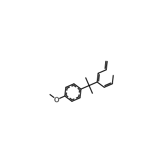 C=C/C=C(\C=C/C)C(C)(C)c1ccc(OC)cc1